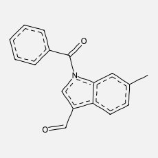 Cc1ccc2c(C=O)cn(C(=O)c3ccccc3)c2c1